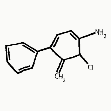 C=C1C(c2ccccc2)=CC=C(N)C1Cl